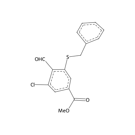 COC(=O)c1cc(Cl)c(C=O)c(SCc2ccccc2)c1